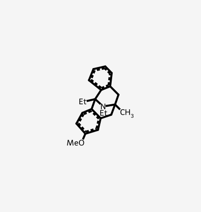 CCN1C2(C)Cc3ccccc3C1(CC)c1ccc(OC)cc1C2